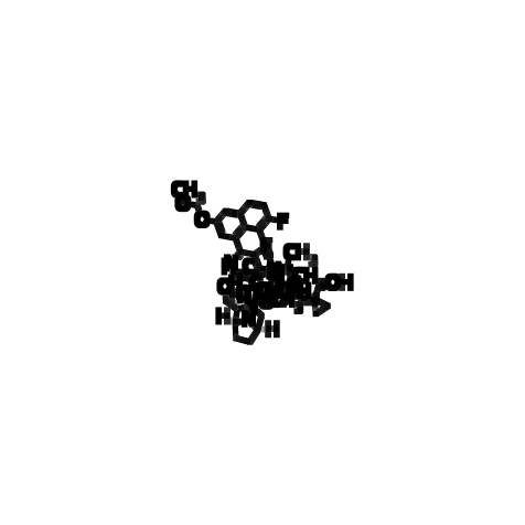 COCOc1cc(-c2nc3c4c(nc(OCC5(CO)CC5)nc4c2F)N2C[C@H]4CC[C@@H]([C@H]2CO3)N4C(=O)OC(C)(C)C)c2c(C#C[Si](C(C)C)(C(C)C)C(C)C)c(F)ccc2c1